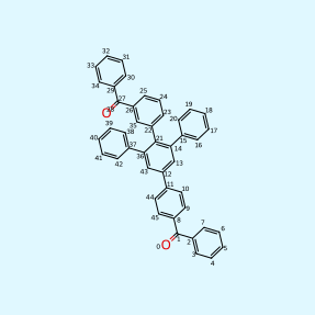 O=C(c1ccccc1)c1ccc(-c2cc(-c3ccccc3)c(-c3cccc(C(=O)c4ccccc4)c3)c(-c3ccccc3)c2)cc1